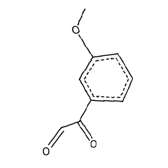 COc1cccc(C(=O)C=O)c1